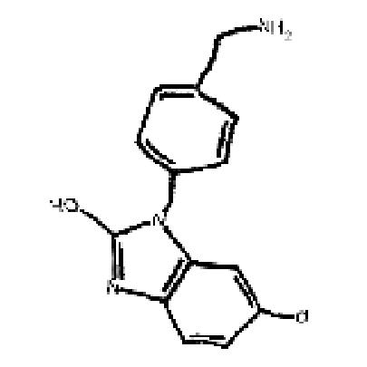 NCc1ccc(-n2c(O)nc3ccc(Cl)cc32)cc1